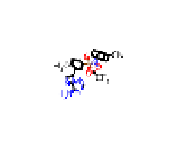 Cc1ccc(S(=O)(=O)N(OC(=O)C(F)(F)F)C23C4C5C2C2C3C4C52C#N)cc1-c1cnc2c(N)ncnn12